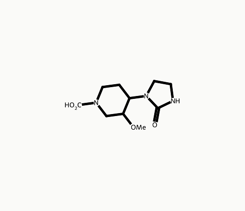 COC1CN(C(=O)O)CCC1N1CCNC1=O